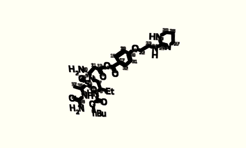 CCCCOC(=O)NC(CC)CN([C@H](N)CC(=O)OC(=O)c1ccc(OCCNC2=NCCCN2)cc1)S(=O)(=O)C(C)NC(N)=O